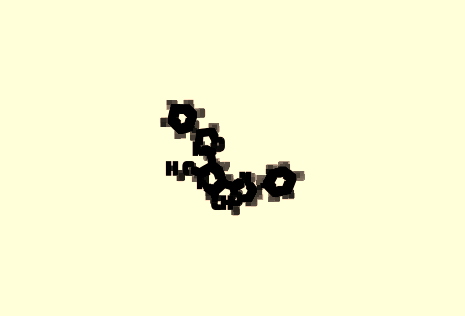 Cc1nc(C)c(C2=N[C@H](c3ccccc3)CO2)cc1C1=N[C@H](c2ccccc2)CO1